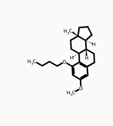 CCCCOc1cc(OC)cc2c1[C@H]1CC[C@]3(C)CCC[C@H]3[C@@H]1CC2